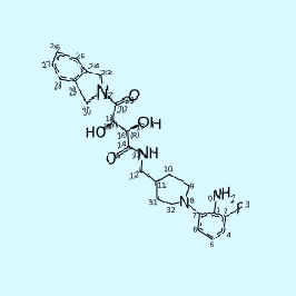 Nc1c(F)cccc1N1CCC(CNC(=O)[C@H](O)[C@@H](O)C(=O)N2Cc3ccccc3C2)CC1